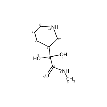 CNC(=O)C(O)(O)C1CCCNC1